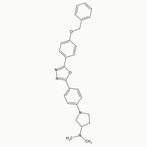 CN(C)C1CCN(c2ccc(-c3nnc(-c4ccc(OCc5ccccc5)cc4)o3)cc2)C1